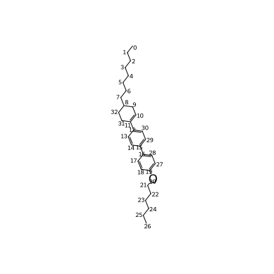 CCCCCCCCC1CC=C(c2ccc(-c3ccc(OCCCCCC)cc3)cc2)CC1